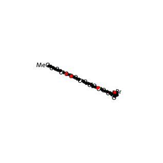 COCCOCCOCCOCCOCCOCCOCCOCCOCCOCCOCCOCCOCCOCCN1C(=O)C(C)(C)N(Br)C1(C)C